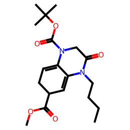 CCCCN1C(=O)CN(C(=O)OC(C)(C)C)C2=CCC(C(=O)OC)C=C21